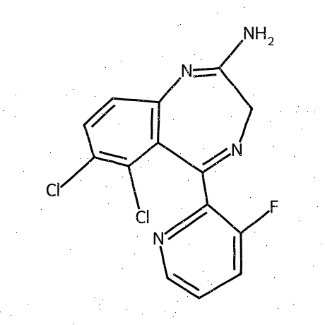 NC1=Nc2ccc(Cl)c(Cl)c2C(c2ncccc2F)=NC1